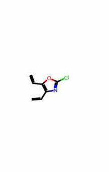 C=Cc1nc(Cl)oc1C=C